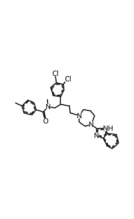 Cc1ccc(C(=O)N(C)CC(CCN2CCCN(c3nc4ccccc4[nH]3)CC2)c2ccc(Cl)c(Cl)c2)cc1